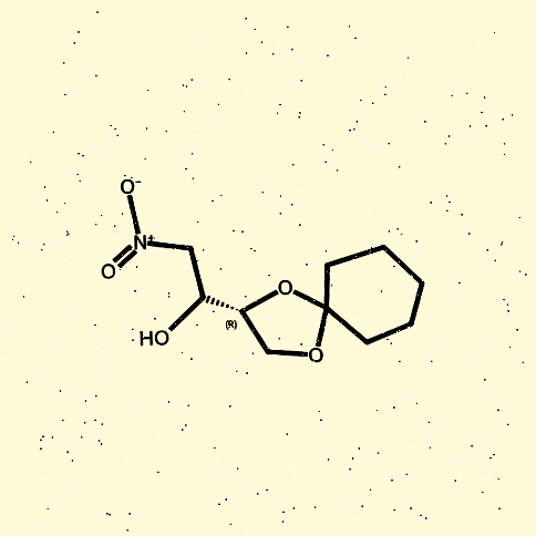 O=[N+]([O-])CC(O)[C@H]1COC2(CCCCC2)O1